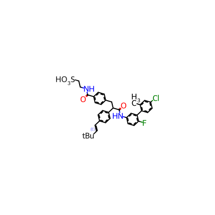 Cc1cc(Cl)ccc1-c1cc(NC(=O)C(Cc2ccc(C(=O)NCCS(=O)(=O)O)cc2)c2ccc(/C=C/C(C)(C)C)cc2)ccc1F